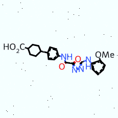 COc1ccccc1Nc1nnc(C(=O)Nc2ccc(C3CCC(C(=O)O)CC3)cc2)o1